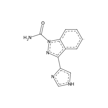 NC(=O)n1nc(-c2c[nH]cn2)c2c[c]ccc21